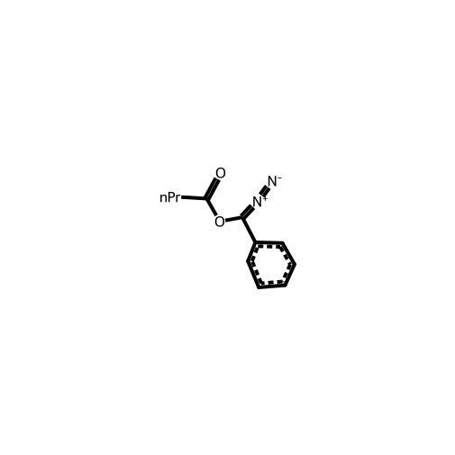 CCCC(=O)OC(=[N+]=[N-])c1ccccc1